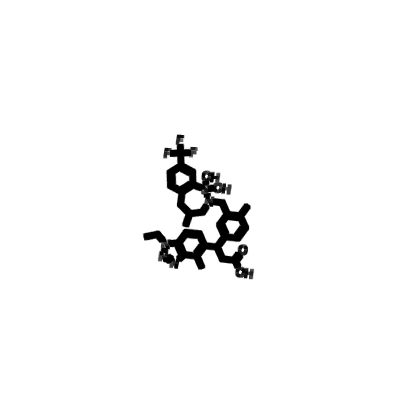 CCn1nnc2c(C)c(C(CC(=O)O)c3ccc(C)c(CN4CC(C)Cc5ccc(C(F)(F)F)cc5S4(O)O)c3)ccc21